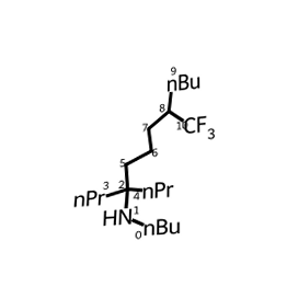 CCCCNC(CCC)(CCC)CCCC(CCCC)C(F)(F)F